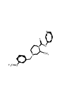 CC1CN(Cc2cccc(OC(F)(F)F)c2)CCN1C(=O)Oc1cccnc1